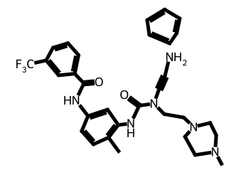 Cc1ccc(NC(=O)c2cccc(C(F)(F)F)c2)cc1NC(=O)N(C#CN)CCN1CCN(C)CC1.c1ccccc1